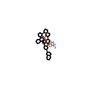 CC1(C)c2cc(-c3ccc4ccccc4c3)ccc2-c2ccc(N(c3ccccc3-c3ccccc3)c3ccccc3-c3cccc4oc5c6ccccc6ccc5c34)cc21